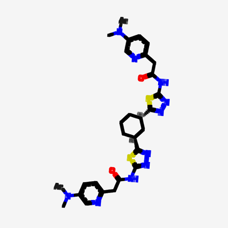 CC(=O)N(C)c1ccc(CC(=O)Nc2nnc([C@H]3CCC[C@H](c4nnc(NC(=O)Cc5ccc(N(C)C(C)=O)cn5)s4)C3)s2)nc1